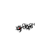 CCC12CC3CC(C1)CC(COc1cc(F)c(C(=O)O)cc1Cl)(C3)C2